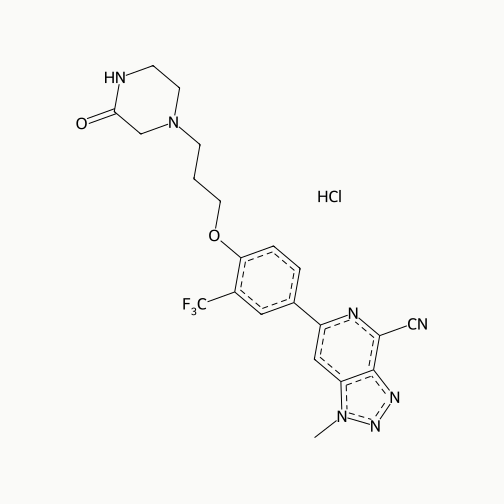 Cl.Cn1nnc2c(C#N)nc(-c3ccc(OCCCN4CCNC(=O)C4)c(C(F)(F)F)c3)cc21